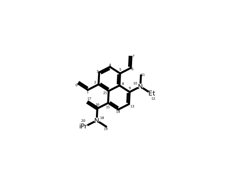 C=Cc1ccc(C=C)c2c(N(C)CC)ccc(C(=C)N(C)C(C)C)c12